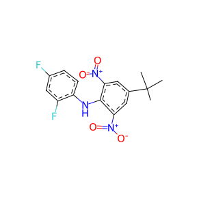 CC(C)(C)c1cc([N+](=O)[O-])c(Nc2ccc(F)cc2F)c([N+](=O)[O-])c1